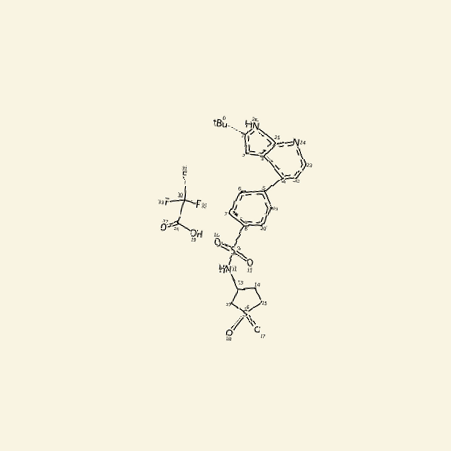 CC(C)(C)c1cc2c(-c3ccc(S(=O)(=O)NC4CCS(=O)(=O)C4)cc3)ccnc2[nH]1.O=C(O)C(F)(F)F